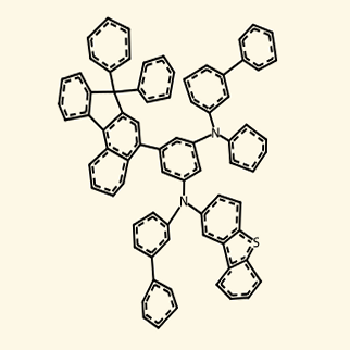 c1ccc(-c2cccc(N(c3ccccc3)c3cc(-c4cc5c(c6ccccc46)-c4ccccc4C5(c4ccccc4)c4ccccc4)cc(N(c4cccc(-c5ccccc5)c4)c4ccc5sc6ccccc6c5c4)c3)c2)cc1